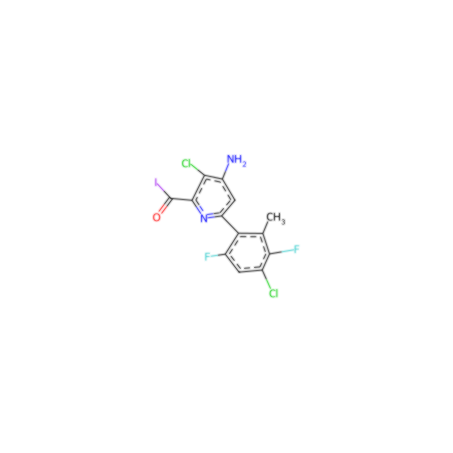 Cc1c(F)c(Cl)cc(F)c1-c1cc(N)c(Cl)c(C(=O)I)n1